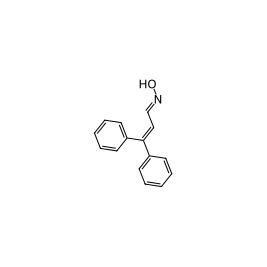 ON=CC=C(c1ccccc1)c1ccccc1